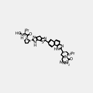 COC(=O)N[C@H](C[C@@H](CCCN)c1nc2ccc3cc(-c4nc5c(s4)-c4[nH]c([C@@H]6CCCN6C(=O)[C@@H](NO)C(C)C)nc4C5)ccc3c2[nH]1)C(C)C